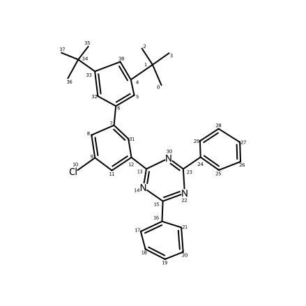 CC(C)(C)c1cc(-c2cc(Cl)cc(-c3nc(-c4ccccc4)nc(-c4ccccc4)n3)c2)cc(C(C)(C)C)c1